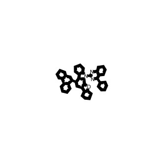 c1ccc(-c2nc(-n3c4ccccc4c4c(-c5cc6ccccc6c6ccccc56)cc5c6ccccc6oc5c43)nc3ccccc23)cc1